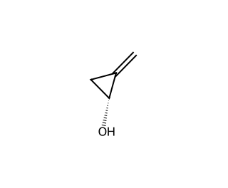 C=C1C[C@H]1O